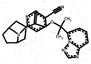 CC(C)(OCC(=O)N1CC2CCC(C1)N2c1ccc(C#N)cn1)c1cccc2ncnn12